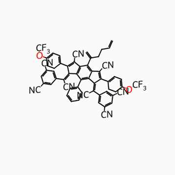 C=CCCC(=C)c1c2c(c(-c3ccccc3)c3c1C(C#N)=C(C1=CC=C(OC(F)(F)F)CC1)/C3=C(/C#N)c1cc(C#N)cc(C#N)c1)/C(=C(\C#N)c1cc(C#N)cc(C#N)c1)C(C1=CC=C(OC(F)(F)F)CC1)=C2C#N